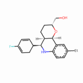 CCc1ccc2c(c1)[C@@H]1O[C@@H](CO)CC[C@@H]1[C@H](C1C=CC(F)=CC1)N2